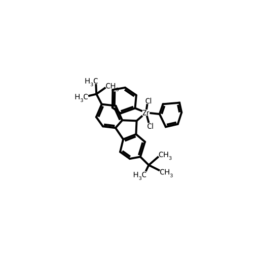 CC(C)(C)c1ccc2c(c1)[CH]([Zr]([Cl])([Cl])([c]1ccccc1)[c]1ccccc1)c1cc(C(C)(C)C)ccc1-2